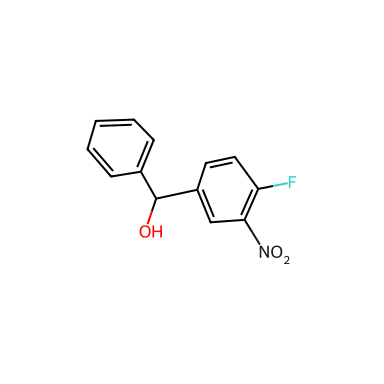 O=[N+]([O-])c1cc(C(O)c2ccccc2)ccc1F